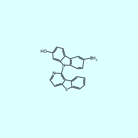 Bc1ccc2c(c1)c1ccc(O)cc1n2-c1nccc2sc3ccccc3c12